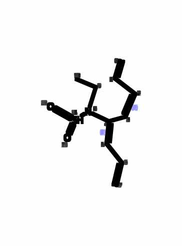 C=C/C=C\C(=C/C=C)N(CC)[SH](=O)=O